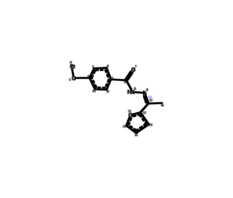 CCOc1ccc(C(=O)N/N=C(/C)c2ccco2)cc1